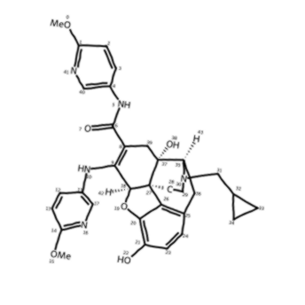 COc1ccc(NC(=O)C2=C(Nc3ccc(OC)nc3)[C@@H]3Oc4c(O)ccc5c4[C@@]34CCN(CC3CC3)[C@H](C5)[C@]4(O)C2)cn1